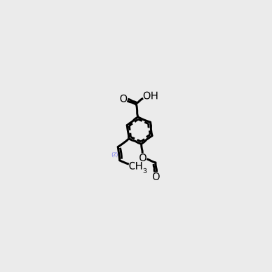 C/C=C\c1cc(C(=O)O)ccc1OC=O